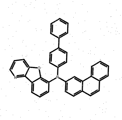 c1ccc(-c2ccc(N(c3ccc4ccc5ccccc5c4c3)c3cccc4c3oc3cccnc34)cc2)cc1